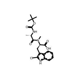 C[C@H](NC(=O)OC(C)(C)C)C(=O)N(C)[C@H](Cc1c(Cl)[nH]c2ccccc12)C(=O)O